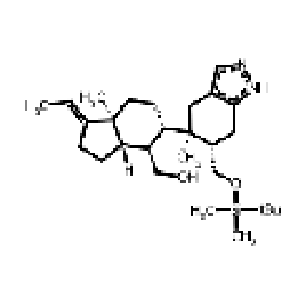 C/C=C1\CC[C@H]2[C@H](CO)[C@@H]([C@@]3(C)Cc4cn[nH]c4C[C@@H]3CO[Si](C)(C)C(C)(C)C)CC[C@]12C